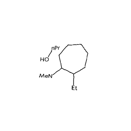 CCC1CCCCCC1NC.CCCO